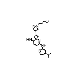 CC(C)c1cnnc(NC2=NC3(C=C(c4cnn(CCC=O)c4)C3)C(=N)C=C2)c1